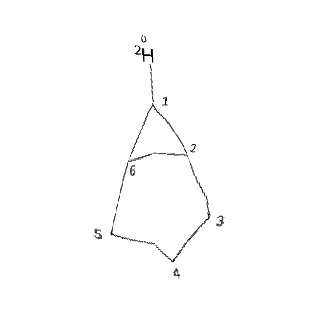 [2H]C1C2CCCC12